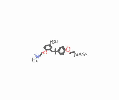 CCN(C)CCOc1ccc(C(C)(C)C)cc1CC(C)(C)c1ccc(OCCNC)cc1